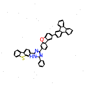 c1ccc(C2N=C(c3ccc4c(c3)oc3ccc(-c5ccc6c7ccccc7c7ccccc7c6c5)cc34)N=C(c3ccc4c(c3)sc3ccccc34)N2)cc1